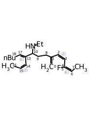 C=C(/C=C\C(F)=C/C)CCC(NCC)C(/C=C\C)=C/CCCC